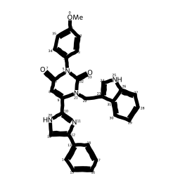 COc1ccc(-n2c(=O)cc(-c3nc(-c4ccccc4)c[nH]3)n(Cc3c[nH]c4ccccc34)c2=O)cc1